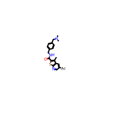 CC(=O)c1cnc2sc(C(=O)NCc3ccc(CN(C)C)cc3)c(C)c2c1